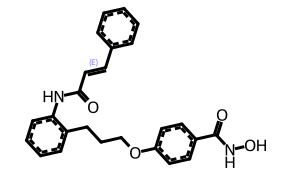 O=C(/C=C/c1ccccc1)Nc1ccccc1CCCOc1ccc(C(=O)NO)cc1